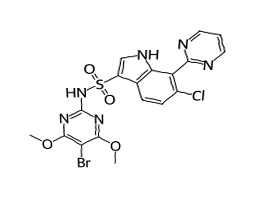 COc1nc(NS(=O)(=O)c2c[nH]c3c(-c4ncccn4)c(Cl)ccc23)nc(OC)c1Br